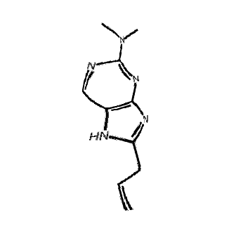 C=CCc1nc2nc(N(C)C)ncc2[nH]1